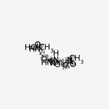 C[C@@H](CCC1CCC(c2cc(NC(=O)Cc3cccc4c3CN(C)C4=O)n[nH]2)C1)NC(=O)O